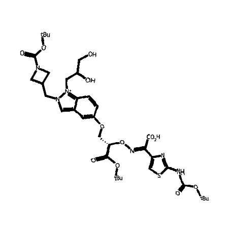 CC(C)(C)OC(=O)Nc1nc(/C(=N/O[C@@H](COc2ccc3c(c2)cn(CC2CN(C(=O)OC(C)(C)C)C2)[n+]3CC(O)CO)C(=O)OC(C)(C)C)C(=O)O)cs1